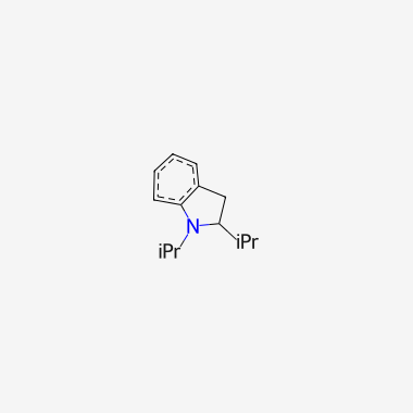 CC(C)C1Cc2ccccc2N1C(C)C